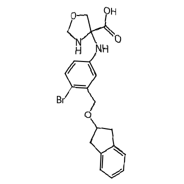 O=C(O)C1(Nc2ccc(Br)c(COC3Cc4ccccc4C3)c2)COCN1